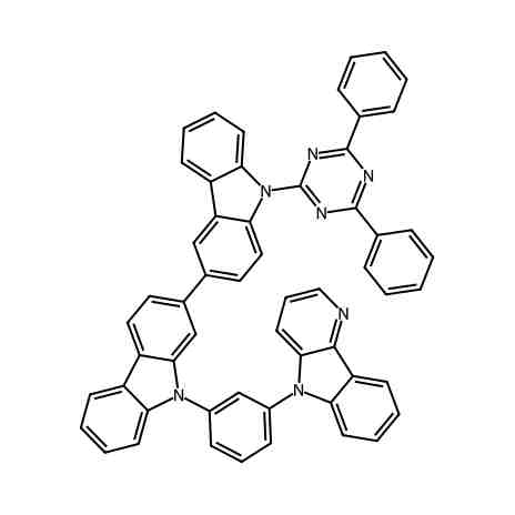 c1ccc(-c2nc(-c3ccccc3)nc(-n3c4ccccc4c4cc(-c5ccc6c7ccccc7n(-c7cccc(-n8c9ccccc9c9ncccc98)c7)c6c5)ccc43)n2)cc1